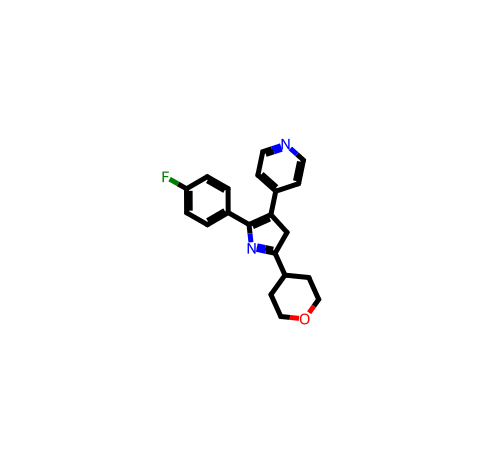 Fc1ccc(C2=C(c3ccncc3)CC(C3CCOCC3)=N2)cc1